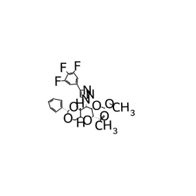 COCO[C@@H]1[C@@H](n2cc(-c3cc(F)c(F)c(F)c3)nn2)[C@H]2O[C@@H](c3ccccc3)OC[C@H]2O[C@H]1C(C)=O